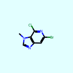 Cn1cnc2cc(Br)nc(Cl)c21